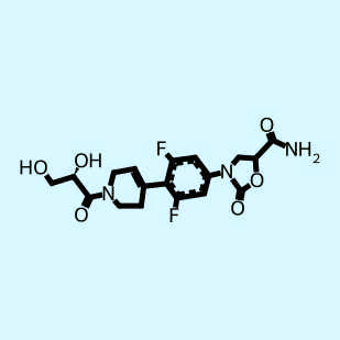 NC(=O)C1CN(c2cc(F)c(C3=CCN(C(=O)[C@@H](O)CO)CC3)c(F)c2)C(=O)O1